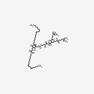 CCCCC/C=C\C/C=C\CCCCCCCCNC(=O)CCC(NC(=O)CCC(=O)OCCNC(=O)CNC(=O)C(CCCNC(=O)CCCN(C)C)NC(=O)CCCN(C)C)C(=O)NCCCCCCCC/C=C\C/C=C\CCCCC